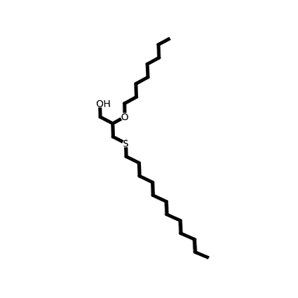 CCCCCCCCCCCCSCC(CO)OCCCCCCCC